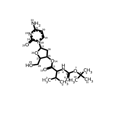 CC(C)C(NC(=O)OC(C)(C)C)C(=O)OC1CC(n2ccc(N)nc2=O)OC1CO